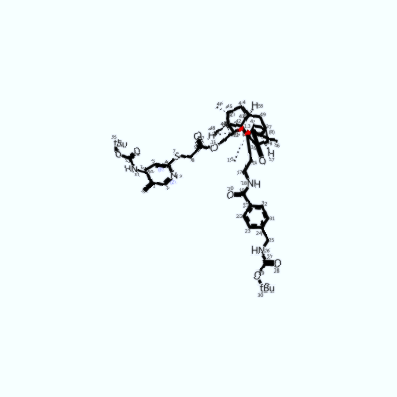 C=C(/C=N\C(=C/C)SCC(=O)O[C@@H]1C[C@](C)(CCNC(=O)c2ccc(CNC(=O)OC(C)(C)C)cc2)C(=O)[C@H](C)[C@]23CCC(C2)C2[C@@H](C[C@@H](C)[C@]21C)C3)CNC(=O)OC(C)(C)C